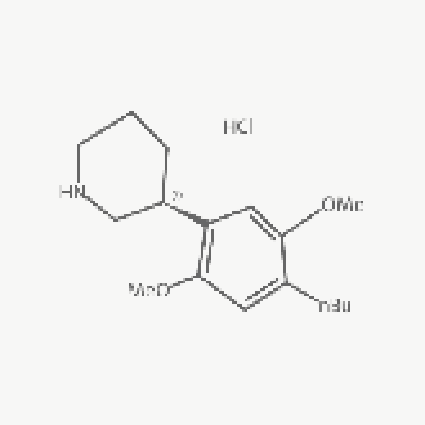 CCCCc1cc(OC)c([C@@H]2CCCNC2)cc1OC.Cl